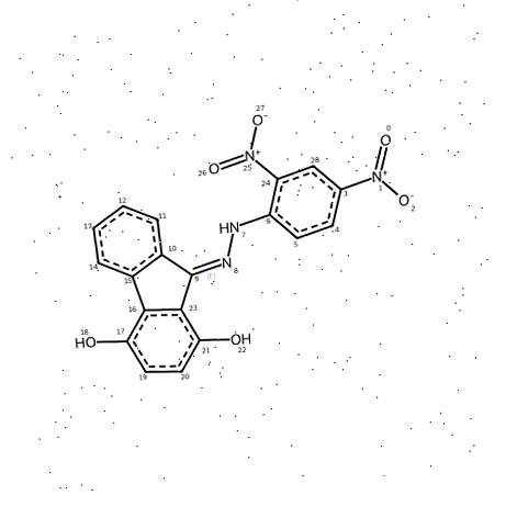 O=[N+]([O-])c1ccc(N/N=C2\c3ccccc3-c3c(O)ccc(O)c32)c([N+](=O)[O-])c1